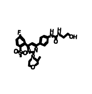 CC1COCCN1c1nc(-c2ccc(NC(=O)NCCO)cc2)cc(-c2cc(F)ccc2S(C)(=O)=O)n1